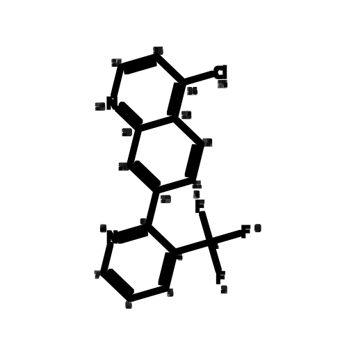 FC(F)(F)c1cccnc1-c1ccc2c(Cl)ccnc2c1